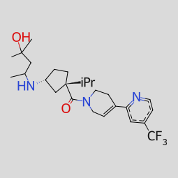 CC(CC(C)(C)O)N[C@@H]1CC[C@@](C(=O)N2CC=C(c3cc(C(F)(F)F)ccn3)CC2)(C(C)C)C1